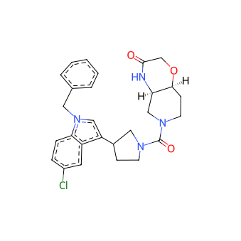 O=C1CO[C@H]2CCN(C(=O)N3CCC(c4cn(Cc5ccccc5)c5ccc(Cl)cc45)C3)C[C@H]2N1